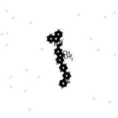 CC1(C)c2cc(-c3ccc(-c4ccc5sc6ccccc6c5c4)cc3)ccc2-c2ccc(-c3cnc4c5ccccc5c5ccccc5c4n3)cc21